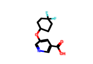 O=C(O)c1cncc(OC2CCC(F)(F)CC2)c1